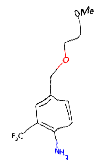 COCCOCc1ccc(N)c(C(F)(F)F)c1